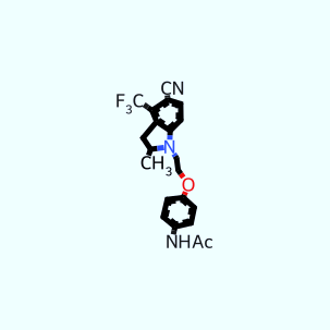 CC(=O)Nc1ccc(OCCN2c3ccc(C#N)c(C(F)(F)F)c3CC2C)cc1